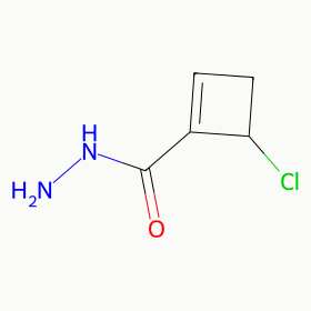 NNC(=O)C1=CCC1Cl